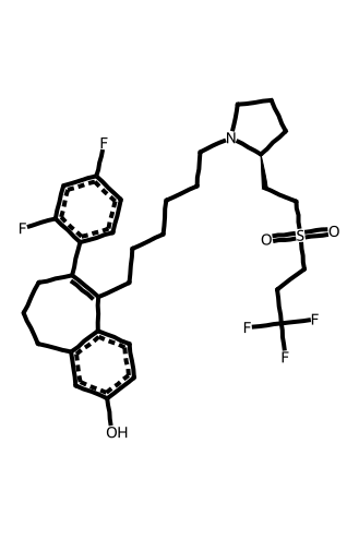 O=S(=O)(CC[C@@H]1CCCN1CCCCCCC1=C(c2ccc(F)cc2F)CCCc2cc(O)ccc21)CCC(F)(F)F